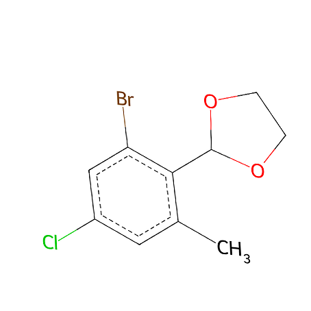 Cc1cc(Cl)cc(Br)c1C1OCCO1